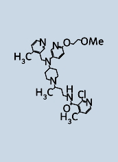 COCCOc1ccc(N(Cc2cnccc2C)C2CCN(C(C)CCNC(=O)c3c(C)ccnc3Cl)CC2)cn1